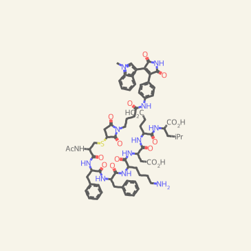 CC(=O)NC(CSC1CC(=O)N(CCCC(=O)Nc2ccc(C3=C(c4cn(C)c5ccccc45)C(=O)NC3=O)cc2)C1=O)C(=O)NC(Cc1ccccc1)C(=O)NC(Cc1ccccc1)C(=O)NC(CCCCN)C(=O)NC(CC(=O)O)C(=O)NC(CCC(=O)O)C(=O)NC(CC(C)C)C(=O)O